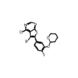 Fc1ccc(-c2sc3ncnc(Cl)c3c2Br)cc1OC1CCCCO1